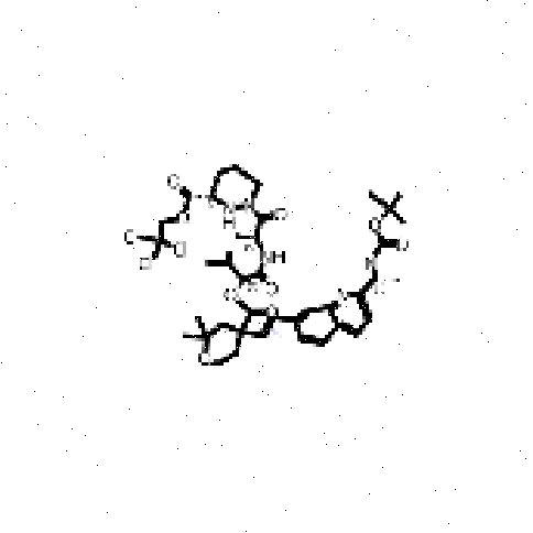 CC(C)[C@H](OC(=O)C1(/C=C/c2ccc3ccc([C@@H](C)NC(=O)OC(C)(C)C)nc3c2)CCOC(C)(C)C1)C(=O)N[C@@H](C)C(=O)N1CCC[C@@H](C(=O)OCC(Cl)(Cl)Cl)N1